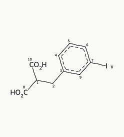 O=C(O)C(Cc1cccc(I)c1)C(=O)O